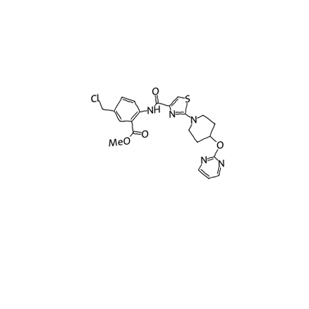 COC(=O)c1cc(CCl)ccc1NC(=O)c1csc(N2CCC(Oc3ncccn3)CC2)n1